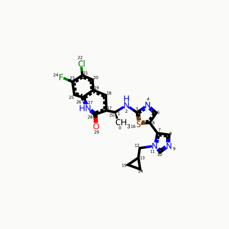 C[C@H](Nc1ncc(-c2cncn2CC2CC2)s1)c1cc2cc(Cl)c(F)cc2[nH]c1=O